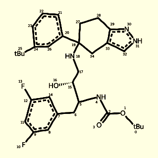 CC(C)(C)OC(=O)NC(Cc1cc(F)cc(F)c1)[C@H](O)CNC1(c2cccc(C(C)(C)C)c2)CCc2n[nH]cc2C1